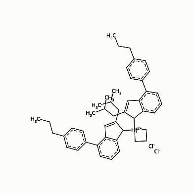 CCCc1ccc(-c2cccc3c2C=C(CC(C)C)[CH]3[Hf+2]2([CH]3C(CC(C)C)=Cc4c(-c5ccc(CCC)cc5)cccc43)[CH2]C[CH2]2)cc1.[Cl-].[Cl-]